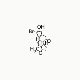 C[C@]12CC[C@@H]3c4cc(Br)c(O)cc4CC(=O)[C@H]3[C@@H]1CCC2=O